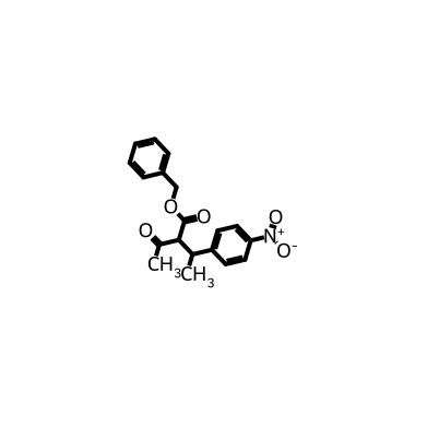 CC(=O)C(C(=O)OCc1ccccc1)C(C)c1ccc([N+](=O)[O-])cc1